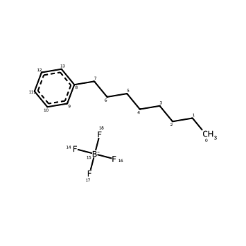 CCCCCCCCc1cc[c]cc1.F[B-](F)(F)F